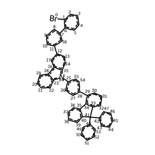 Brc1ccccc1-c1cccc(-c2ccc3c(c2)c2ccccc2n3-c2ccc(-c3cccc4c3-c3ccccc3C4(c3ccccc3)c3ccccc3)cc2)c1